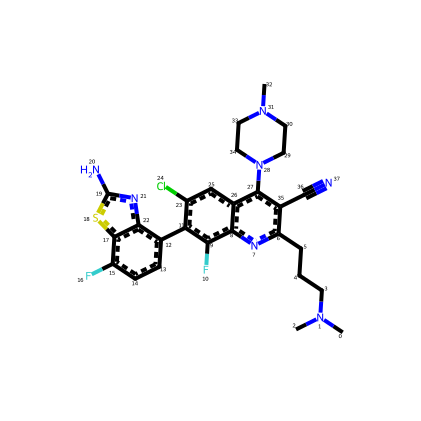 CN(C)CCCc1nc2c(F)c(-c3ccc(F)c4sc(N)nc34)c(Cl)cc2c(N2CCN(C)CC2)c1C#N